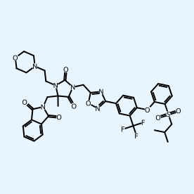 CC(C)CS(=O)(=O)c1ccccc1Oc1ccc(-c2noc(CN3C(=O)N(CCN4CCOCC4)C(C)(CN4C(=O)c5ccccc5C4=O)C3=O)n2)cc1C(F)(F)F